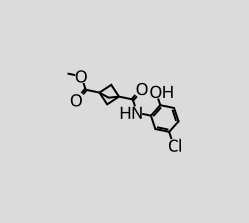 COC(=O)C12CC(C(=O)Nc3cc(Cl)ccc3O)(C1)C2